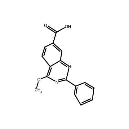 COc1nc(-c2ccccc2)nc2cc(C(=O)O)ccc12